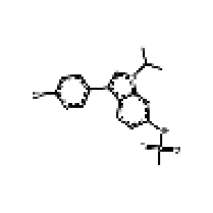 CC(C)n1cc(-c2ccc(Cl)nc2)c2ccc(NS(C)(=O)=O)cc21